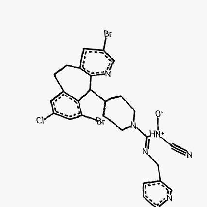 N#C[NH+]([O-])C(=NCc1cccnc1)N1CCC(C2c3ncc(Br)cc3CCc3cc(Cl)cc(Br)c32)CC1